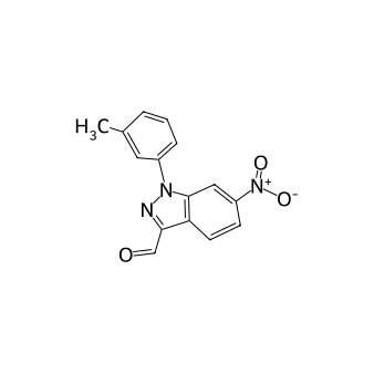 Cc1cccc(-n2nc(C=O)c3ccc([N+](=O)[O-])cc32)c1